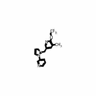 Cc1cc(CN2CC=CN2c2cccnc2)cnc1OCC(F)(F)F